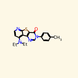 CCN(CC)c1ccnc2sc3c(=O)n(-c4ccc(C)cc4)cnc3c12